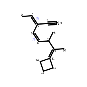 C/C=C(C#N)\C=C/C(C)C(C)=C1CCC1